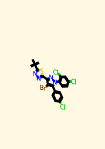 CC(C)(C)c1nnc(-c2nn(-c3ccc(Cl)cc3Cl)c(-c3ccc(Cl)cc3)c2Br)s1